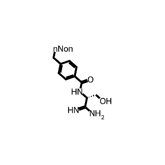 CCCCCCCCCCc1ccc(C(=O)N[C@H](CO)C(=N)N)cc1